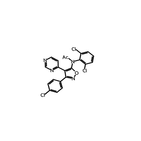 CC(=O)N(c1onc(-c2ccc(Cl)cc2)c1-c1ccncn1)c1c(Cl)cccc1Cl